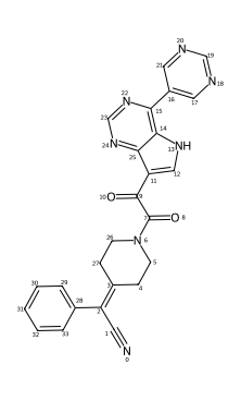 N#CC(=C1CCN(C(=O)C(=O)c2c[nH]c3c(-c4cncnc4)ncnc23)CC1)c1ccccc1